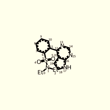 CCN(CC)S(=O)(=O)c1ccccc1-c1ncnc2[nH]ccc12